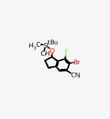 CC(C)(C)[Si](C)(C)OC1CCc2cc(C#N)c(Br)c(F)c21